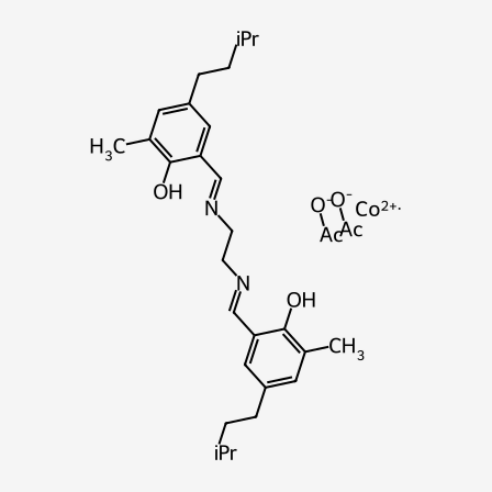 CC(=O)[O-].CC(=O)[O-].Cc1cc(CCC(C)C)cc(C=NCCN=Cc2cc(CCC(C)C)cc(C)c2O)c1O.[Co+2]